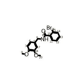 COc1ccc(CNC(=O)c2ccccc2Br)cc1OC